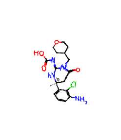 C[C@@]1(c2cccc(N)c2Cl)CC(=O)N(CC2CCOCC2)C(=NC(=O)O)N1